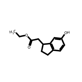 CCOC(=O)CC1CCc2ccc(O)cc21